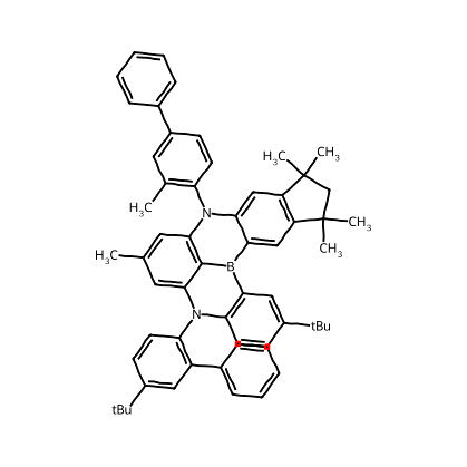 Cc1cc2c3c(c1)N(c1ccc(C(C)(C)C)cc1-c1ccccc1)c1ccc(C(C)(C)C)cc1B3c1cc3c(cc1N2c1ccc(-c2ccccc2)cc1C)C(C)(C)CC3(C)C